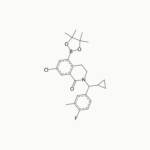 Cc1cc(C(C2CC2)N2CCc3c(B4OC(C)(C)C(C)(C)O4)cc(Cl)cc3C2=O)ccc1F